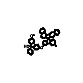 COc1ccc(C(O)(c2ccccc2)c2ccc(Oc3ccc(C4(c5ccc(C)cc5)c5cc6ccccc6cc5-c5c4ccc4ccccc54)cc3)cc2)cc1